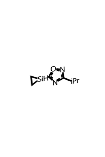 CC(C)c1noc([SiH]2CC2)n1